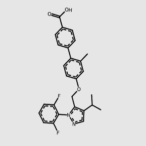 Cc1cc(OCc2c(C(C)C)cnn2-c2c(F)cccc2F)ccc1-c1ccc(C(=O)O)cc1